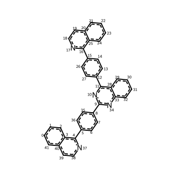 c1ccc2c(-c3ccc(-c4nc(-c5ccc(-c6nccc7ccccc67)cc5)c5ccccc5n4)cc3)nccc2c1